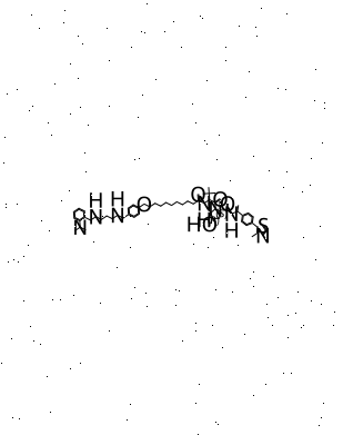 Cc1ncsc1-c1ccc(C(C)NC(=O)[C@@H]2C[C@@H](O)CN2C(=O)C(NC(=O)CCCCCCCCCOc2ccc(CNCCCNCc3ccccc3N(C)C)cc2)C(C)(C)C)cc1